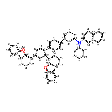 c1ccc(N(c2cccc(-c3ccc(-c4ccc(-c5cccc6c5oc5ccccc56)cc4-c4cccc5c4oc4ccccc45)cc3)c2)c2ccc3ccccc3c2)cc1